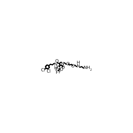 NCCCNCCOCCOCCN1CC(C(=O)NCCCc2ccc(Cl)c(Cl)c2)=C(OC(=O)C(F)(F)F)C1=O